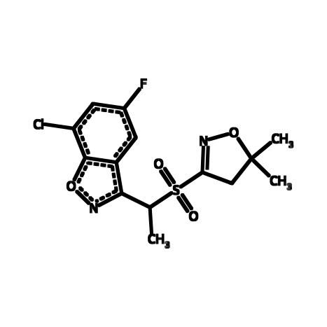 CC(c1noc2c(Cl)cc(F)cc12)S(=O)(=O)C1=NOC(C)(C)C1